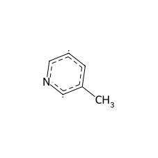 Cc1[c]nc[c]c1